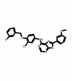 COc1cccc(-c2nc3c(Nc4ccc(OCc5cccc(F)c5)c(Cl)c4)ncnc3s2)c1